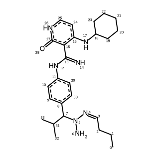 CCC/C=N\N(N)C(c1ccc(NC(=N)c2c(NC3CCCCC3)cc[nH]c2=O)cc1)C(C)C